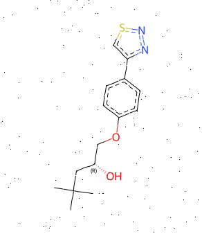 CC(C)(C)C[C@@H](O)COc1ccc(-c2csnn2)cc1